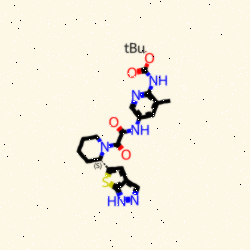 Cc1cc(NC(=O)C(=O)N2CCCC[C@H]2c2cc3cn[nH]c3s2)cnc1NC(=O)OC(C)(C)C